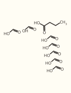 CCCC(=O)O.O=CO.O=CO.O=CO.O=CO.O=CO.O=CO.O=CO